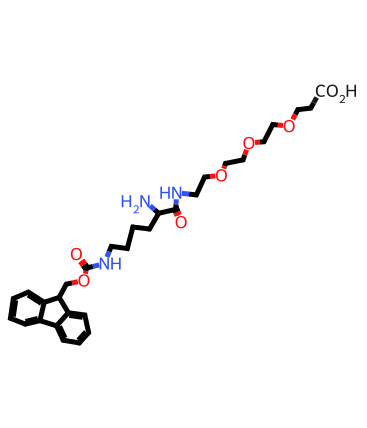 NC(CCCCNC(=O)OCC1c2ccccc2-c2ccccc21)C(=O)NCCOCCOCCOCCC(=O)O